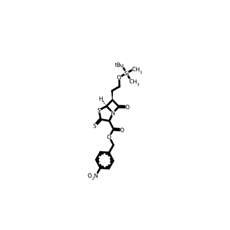 CC(C)(C)[Si](C)(C)OCC[C@H]1C(=O)N2C(C(=O)OCc3ccc([N+](=O)[O-])cc3)C(=S)S[C@@H]12